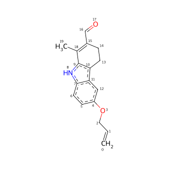 C=CCOc1ccc2[nH]c3c(c2c1)CCC(C=O)=C3C